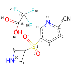 N#Cc1ccc(S(=O)(=O)C2CNC2)cn1.O=C(O)C(F)(F)F